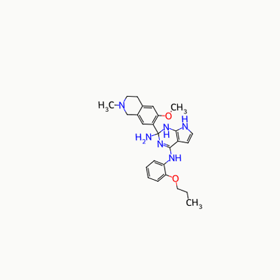 CCCOc1ccccc1NC1=NC(N)(c2cc3c(cc2OC)CCN(C)C3)Nc2[nH]ccc21